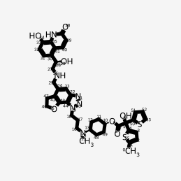 Cc1ccc(C(O)(C(=O)O[C@H]2CC[C@H](N(C)CCCn3nnc4cc(CNC[C@H](O)c5ccc(O)c6[nH]c(=O)ccc56)c5c(c43)OCC5)CC2)c2cccs2)s1